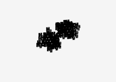 Bc1c(B)c(B)c(-c2cc(C(C)(C)C)cc(-c3c(B)c(B)c(B)c(B)c3B)c2-c2ccc3c(c2)c2c4sc5ccccc5c4cc4c5cc6c(cc5n3c42)c2cc3c4ccccc4sc3c3c4cc(-c5c(-c7c(B)c(B)c(B)c(B)c7B)cc(C(C)(C)C)cc5-c5c(B)c(B)c(B)c(B)c5B)ccc4n6c23)c(B)c1B